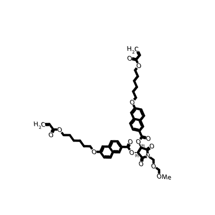 C=CC(=O)OCCCCCCOc1ccc2cc(C(=O)O[C@H]3C(=O)N(COCOC)C(=O)[C@@H]3OC(=O)c3ccc4cc(OCCCCCCOC(=O)C=C)ccc4c3)ccc2c1